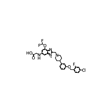 Cn1c(CN2CCC(c3cccc(OCc4ccc(Cl)cc4F)c3)CC2)nc2c(OC(F)F)cc(NCC(=O)O)cc21